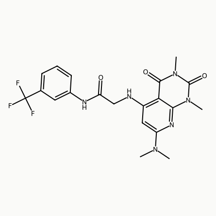 CN(C)c1cc(NCC(=O)Nc2cccc(C(F)(F)F)c2)c2c(=O)n(C)c(=O)n(C)c2n1